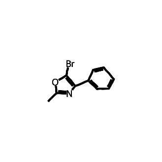 Cc1nc(-c2ccccc2)c(Br)o1